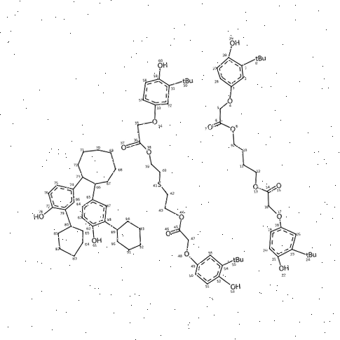 CC(C)(C)c1cc(OCC(=O)OCCCCOC(=O)COc2ccc(O)c(C(C)(C)C)c2)ccc1O.CC(C)(C)c1cc(OCC(=O)OCCSCCOC(=O)COc2ccc(O)c(C(C)(C)C)c2)ccc1O.Oc1ccc(C2CCCCCCC2c2ccc(O)c(C3CCCCC3)c2)cc1C1CCCCC1